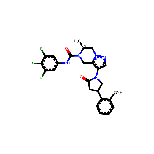 C[C@H]1Cn2ncc(N3CC(c4ccccc4C(=O)O)CC3=O)c2CN1C(=O)Nc1cc(F)c(F)c(F)c1